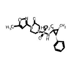 Cc1cc(N2CCN(S(=O)(=O)N[C@@]3(C(=O)O)[C@H](C)[C@@H]3c3ccccc3)CC2=O)no1